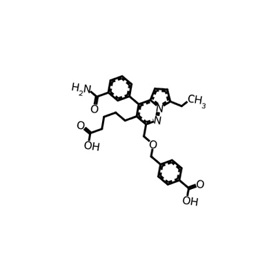 CCc1ccc2c(-c3cccc(C(N)=O)c3)c(CCCCC(=O)O)c(COCc3ccc(C(=O)O)cc3)nn12